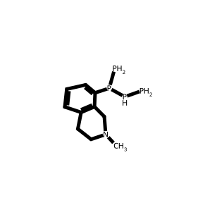 CN1CCc2cccc(P(P)PP)c2C1